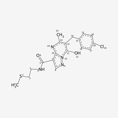 CSCCNC(=O)c1cnn2c(O)c(Cc3ccc(Cl)cc3)c(C)nc12